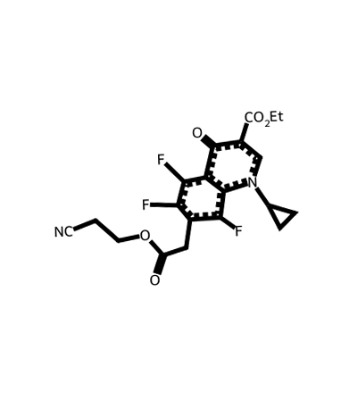 CCOC(=O)c1cn(C2CC2)c2c(F)c(CC(=O)OCCC#N)c(F)c(F)c2c1=O